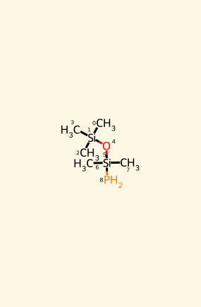 C[Si](C)(C)O[Si](C)(C)P